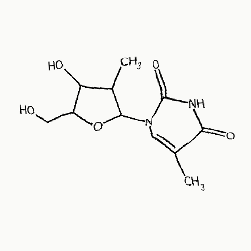 Cc1cn(C2OC(CO)C(O)C2C)c(=O)[nH]c1=O